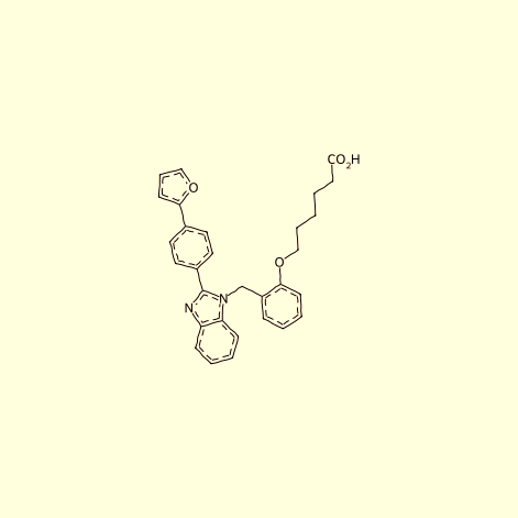 O=C(O)CCCCCOc1ccccc1Cn1c(-c2ccc(-c3ccco3)cc2)nc2ccccc21